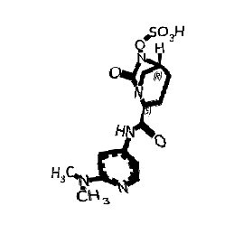 CN(C)c1cc(NC(=O)[C@@H]2CC[C@@H]3CN2C(=O)N3OS(=O)(=O)O)ccn1